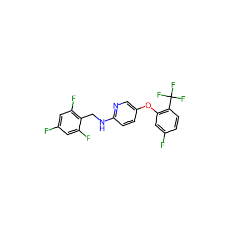 Fc1cc(F)c(CNc2ccc(Oc3cc(F)ccc3C(F)(F)F)cn2)c(F)c1